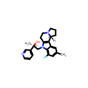 Cc1cc(F)c2c(c1)c1c(n2C[C@](C)(O)c2cccnc2)CCN2CCC[C@H]12